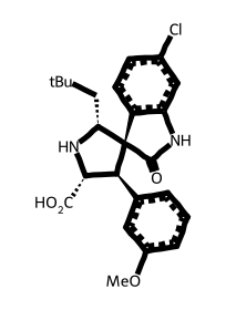 COc1cccc([C@H]2[C@H](C(=O)O)N[C@H](CC(C)(C)C)[C@]23C(=O)Nc2cc(Cl)ccc23)c1